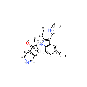 Cc1ccc2c(c1)c1c(n2C(C)(C)C(=O)c2ccncc2)CCN(C=O)C1